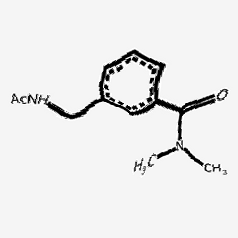 CC(=O)NCc1cccc(C(=O)N(C)C)c1